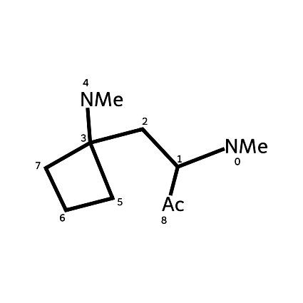 CNC(CC1(NC)CCC1)C(C)=O